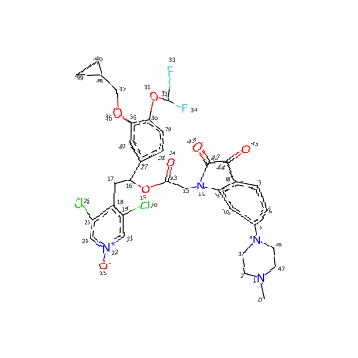 CN1CCN(c2ccc3c(c2)N(CC(=O)OC(Cc2c(Cl)c[n+]([O-])cc2Cl)c2ccc(OC(F)F)c(OCC4CC4)c2)C(=O)C3=O)CC1